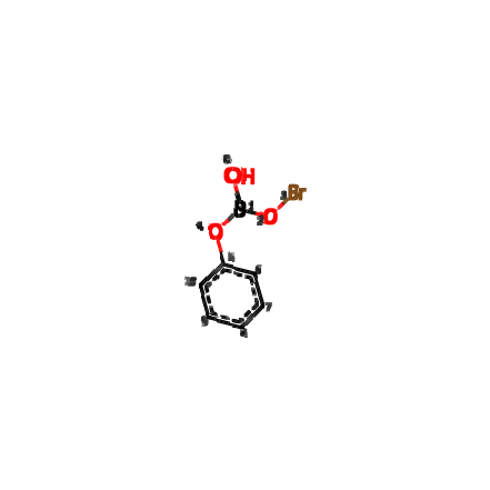 OB(OBr)Oc1ccccc1